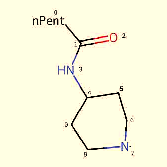 CCCCCC(=O)NC1CC[N]CC1